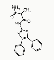 C[C](C(N)=O)C(=O)Nc1nc(-c2ccccc2)c(-c2ccccc2)s1